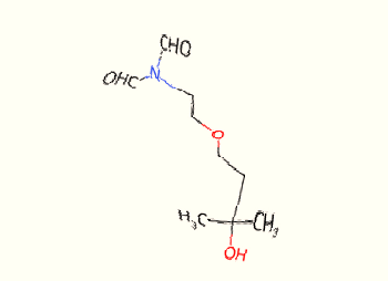 CC(C)(O)CCOCCN(C=O)C=O